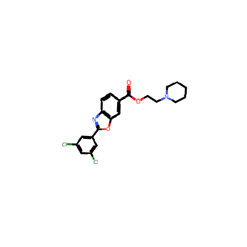 O=C(OCCN1CCCCC1)c1ccc2nc(-c3cc(Cl)cc(Cl)c3)oc2c1